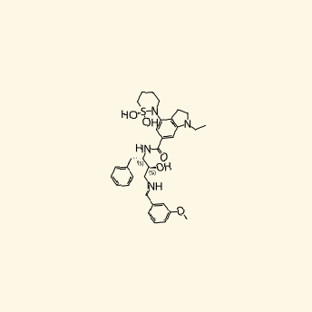 CCN1CCc2c1cc(C(=O)N[C@@H](Cc1ccccc1)[C@@H](O)CNCc1cccc(OC)c1)cc2N1CCCCS1(O)O